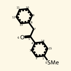 CSc1ccc(C(=O)Cc2ccccc2)cc1